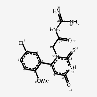 COc1ccc(Cl)cc1-c1cc(=O)[nH]c(=S)n1CC(=O)NC(=N)N